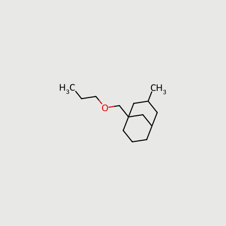 CCCOCC12CCCC(CC(C)C1)C2